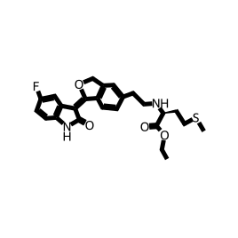 CCOC(=O)[C@H](CCSC)NCCc1ccc2c(c1)CO/C2=C1/C(=O)Nc2ccc(F)cc21